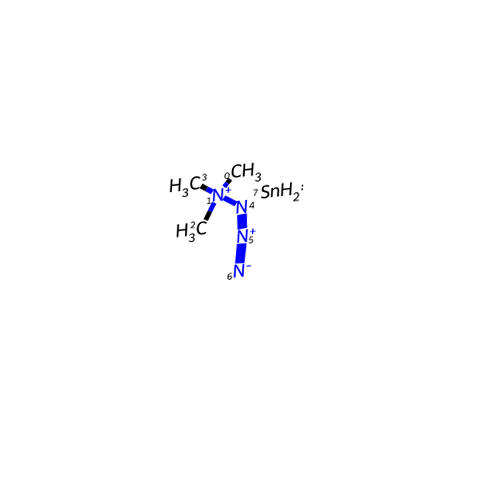 C[N+](C)(C)N=[N+]=[N-].[SnH2]